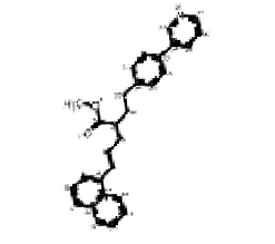 COC(=O)C(CCCc1cccc2ccccc12)CCc1ccc(-c2cccnc2)cc1